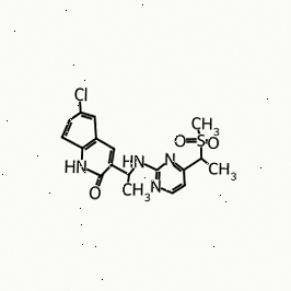 CC(Nc1nccc(C(C)S(C)(=O)=O)n1)c1cc2cc(Cl)ccc2[nH]c1=O